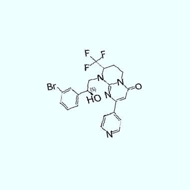 O=c1cc(-c2ccncc2)nc2n1CCC(C(F)(F)F)N2C[C@@H](O)c1cccc(Br)c1